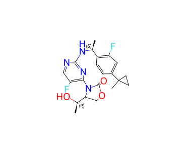 C[C@H](Nc1ncc(F)c(N2C(=O)OCC2[C@@H](C)O)n1)c1ccc(C2(C)CC2)cc1F